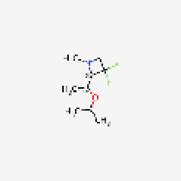 CC(C)O[C@@H](C)[C@H]1N(C)CC1(F)F